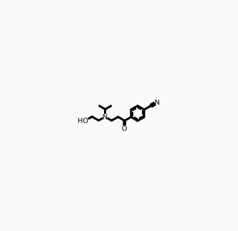 CC(C)N(CCO)CCC(=O)c1ccc(C#N)cc1